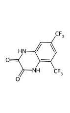 O=c1[nH]c2cc(C(F)(F)F)cc(C(F)(F)F)c2[nH]c1=O